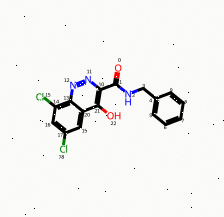 O=C(NCc1ccccc1)c1nnc2c(Cl)cc(Cl)cc2c1O